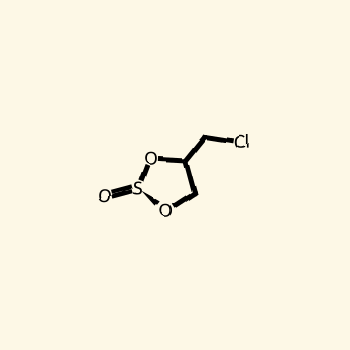 O=[S@@]1OCC(CCl)O1